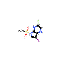 CNS(=O)(=O)n1cc(I)c2ncc(F)nc21